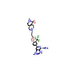 CN1CCC2(CCN(CCCOc3ccc(-c4cc5c(ncn5C)c(C#N)n4)cc3C(F)(F)F)CC2)C1=O